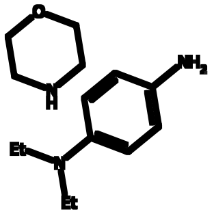 C1COCCN1.CCN(CC)c1ccc(N)cc1